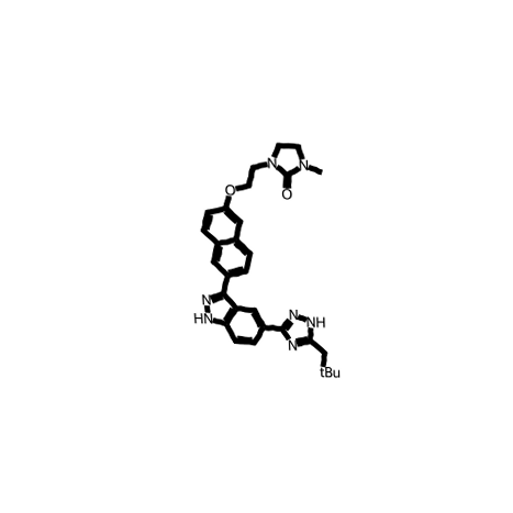 CN1CCN(CCOc2ccc3cc(-c4n[nH]c5ccc(-c6n[nH]c(CC(C)(C)C)n6)cc45)ccc3c2)C1=O